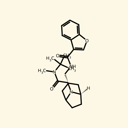 CN(C(=O)CN1C2CC[C@@H]1C[C@@H](CNC(=O)c1coc3ccccc13)C2)C(C)(C)C